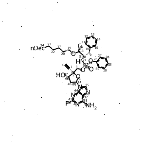 C#C[C@]1(CO[P@](=O)(N[C@@H](Cc2ccccc2)C(=O)OCCCCCCCCCCCCCCC)Oc2ccccc2)O[C@@H](n2cnc3c(N)nc(F)nc32)C[C@@H]1O